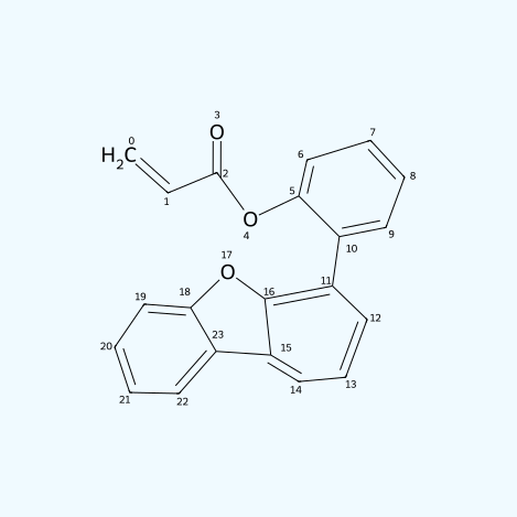 C=CC(=O)Oc1ccccc1-c1cccc2c1oc1ccccc12